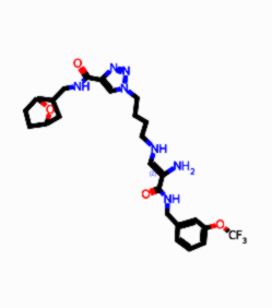 N/C(=C\NCCCCn1cc(C(=O)NCC2CC3CCC2O3)nn1)C(=O)NCc1cccc(OC(F)(F)F)c1